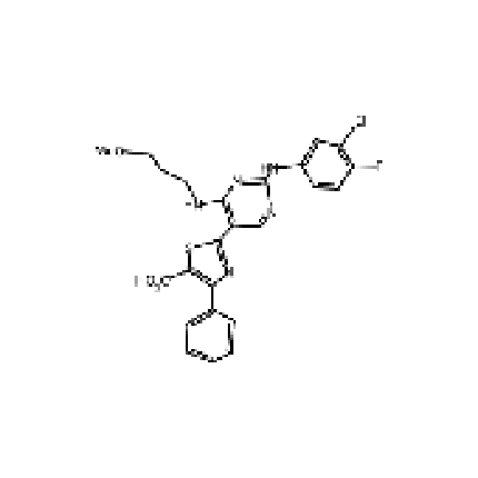 COCCCNc1nc(Nc2ccc(F)c(Cl)c2)ncc1-c1nc(-c2ccccc2)c(C(=O)O)s1